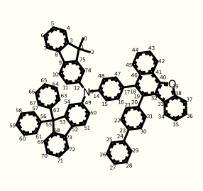 CC1(C)c2ccccc2-c2ccc(N(c3ccc(-c4c(-c5ccc(-c6ccccc6)cc5)c5c6ccccc6oc5c5ccccc45)cc3)c3ccc4c(c3)C(c3ccccc3)(c3ccccc3)c3ccccc3-4)cc21